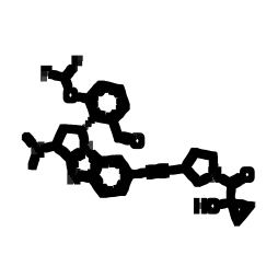 CN(C)C1C[C@H](c2c(C=O)cccc2OC(F)F)n2c1nc1ccc(C#CC3CCN(C(=O)C4(O)CC4)C3)cc12